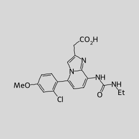 CCNC(=O)Nc1ccc(-c2ccc(OC)cc2Cl)n2cc(CC(=O)O)nc12